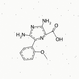 COc1ccccc1-c1nc(C(=O)O)c(N)nc1N